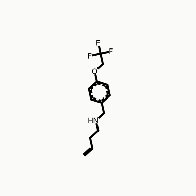 C=CCCNCc1ccc(OCC(F)(F)F)cc1